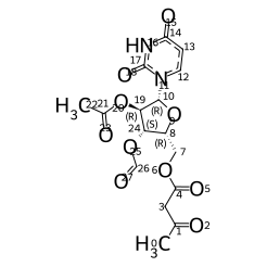 CC(=O)CC(=O)OC[C@H]1O[C@@H](n2ccc(=O)[nH]c2=O)[C@H](OC(C)=O)[C@H]1OC=O